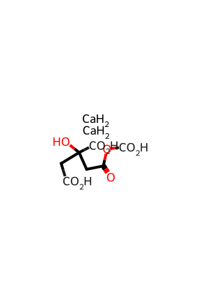 O=C(O)CC(O)(CC(=O)OC(=O)O)C(=O)O.[CaH2].[CaH2]